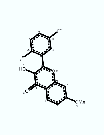 COc1ccc2c(=O)c(O)c(-c3cc(F)ccc3F)oc2c1